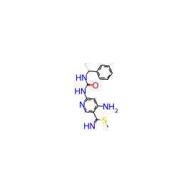 CSC(=N)c1cnc(NC(=O)N[C@H](C)c2ccccc2)cc1N